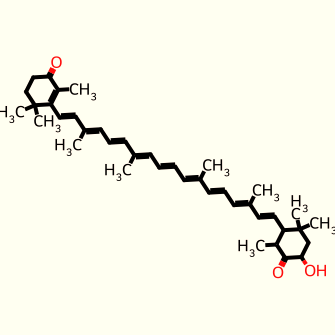 CC1=C(/C=C/C(C)=C/C=C/C(C)=C/C=C/C=C(C)/C=C/C=C(C)/C=C/C2C(C)C(=O)C(O)CC2(C)C)C(C)(C)CCC1=O